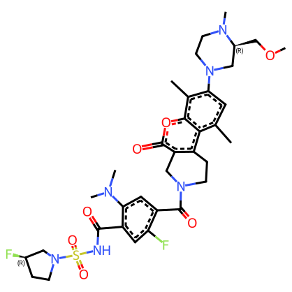 COC[C@H]1CN(c2cc(C)c3c4c(c(=O)oc3c2C)CN(C(=O)c2cc(N(C)C)c(C(=O)NS(=O)(=O)N3CC[C@@H](F)C3)cc2F)CC4)CCN1C